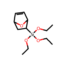 CCO[Si](OCC)(OCC)C1CC2C=CC1O2